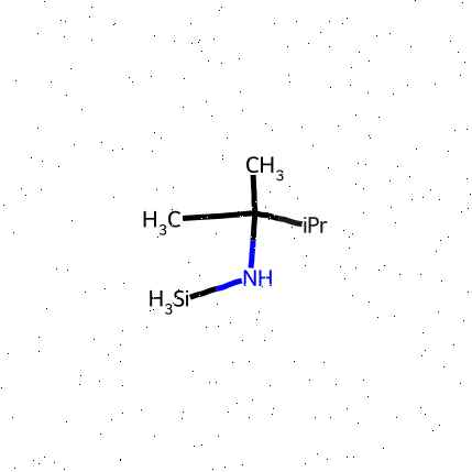 CC(C)C(C)(C)N[SiH3]